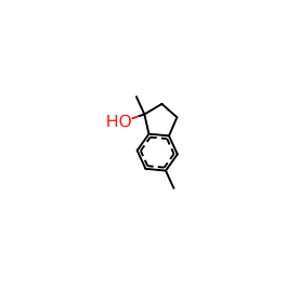 Cc1ccc2c(c1)CCC2(C)O